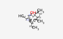 C#C/C=C(\C=C(\O)CC1C=C(C)CCC1C(=C)C)CCCCC